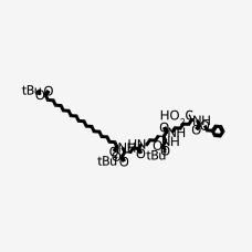 CC(C)(C)OC(=O)CCCCCCCCCCCCCCCCCCC(=O)N[C@@H](CCC(=O)NCCCC[C@H](NC(=O)OC(C)(C)C)C(=O)NCCCC[C@H](NC(=O)OCc1ccccc1)C(=O)O)C(=O)OC(C)(C)C